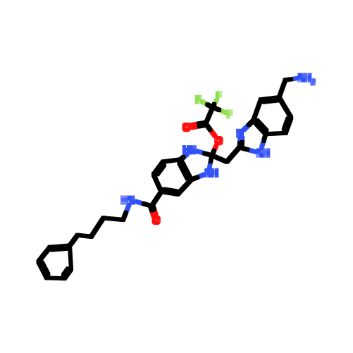 NCc1ccc2[nH]c(CC3(OC(=O)C(F)(F)F)Nc4ccc(C(=O)NCCCCc5ccccc5)cc4N3)nc2c1